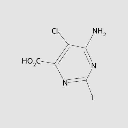 Nc1nc(I)nc(C(=O)O)c1Cl